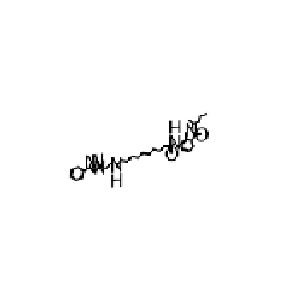 CCCC(C)N1Cc2c(NC(=O)CCCCCCCCCNCCn3cc(C4CCCCC4)nn3)cccc2C1=O